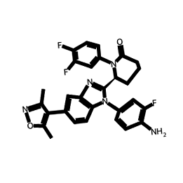 Cc1noc(C)c1-c1ccc2c(c1)nc([C@@H]1CCCC(=O)N1c1ccc(F)c(F)c1)n2-c1ccc(N)c(F)c1